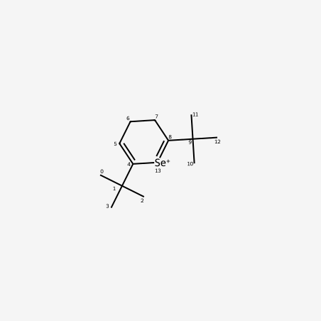 CC(C)(C)C1=CCCC(C(C)(C)C)=[Se+]1